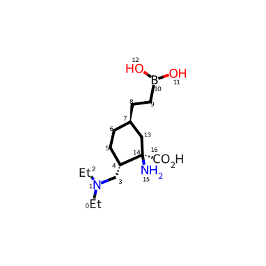 CCN(CC)C[C@@H]1CC[C@@H](CCB(O)O)C[C@]1(N)C(=O)O